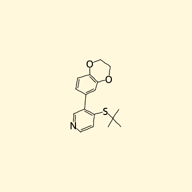 CC(C)(C)Sc1ccncc1-c1ccc2c(c1)OCCO2